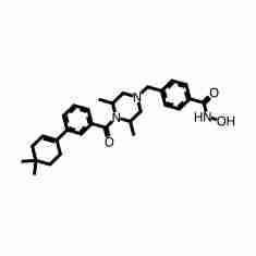 CC1CN(Cc2ccc(C(=O)NO)cc2)CC(C)N1C(=O)c1cccc(C2=CCC(C)(C)CC2)c1